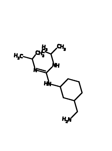 CC(C)/N=C(\NC(C)C)NC1CCCC(CN)C1